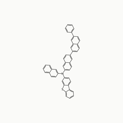 c1ccc(-c2ccc3ccc(-c4ccc5cc(N(c6ccc7ccccc7c6)c6ccc7c(c6)sc6ccccc67)ccc5c4)cc3c2)cc1